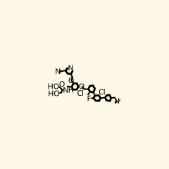 Cc1c(COc2cc(OCc3cncc(C#N)c3)c(CNC(CO)C(=O)O)cc2Cl)cccc1-c1c(F)ccc(-c2ccc(CN(C)C)cc2)c1Cl